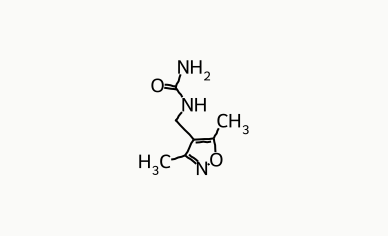 Cc1noc(C)c1CNC(N)=O